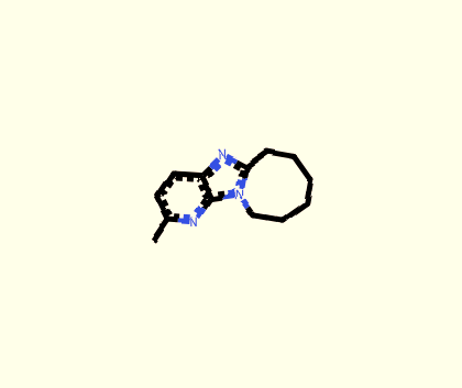 Cc1ccc2nc3n(c2n1)CCCCCC3